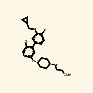 COCCN[C@H]1CC[C@H](Nc2cc(-c3ccc(F)c(NCC4CC4)c3)c(Cl)cn2)CC1